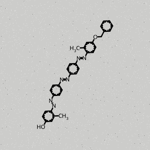 Cc1cc(O)ccc1N=Nc1ccc(N=Nc2ccc(N=Nc3ccc(OCc4ccccc4)cc3C)cc2)cc1